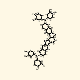 Cc1ccc(N(c2ccc(C)c(C)c2)c2ccc3cc4c(cc3c2)oc2c4ccc3oc4cc5cc(N(c6ccc(C)c(C)c6)c6ccc(C)c(C)c6)ccc5cc4c32)cc1C